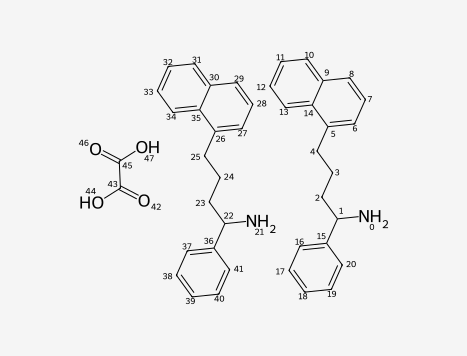 NC(CCCc1cccc2ccccc12)c1ccccc1.NC(CCCc1cccc2ccccc12)c1ccccc1.O=C(O)C(=O)O